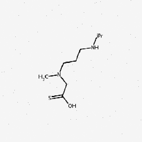 CC(C)NCCCN(C)CC(O)=S